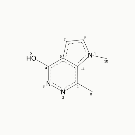 Cc1nnc(O)c2ccn(C)c12